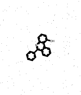 Oc1cccc2nc(-c3ccccc3)c3ccccc3c12